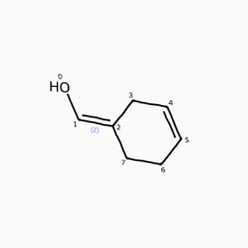 O/C=C1\CC=CCC1